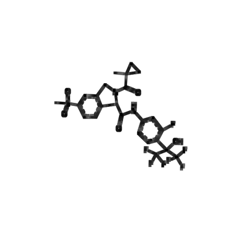 CC1(C(=O)N2Cc3cc(S(C)(=O)=O)ccc3C2C(=O)Nc2ccc(C(O)(C(F)(F)F)C(F)(F)F)c(F)c2)CC1